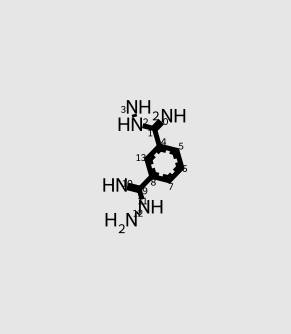 N=C(NN)c1cccc(C(=N)NN)c1